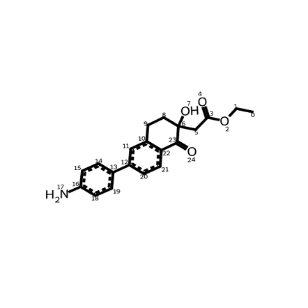 CCOC(=O)CC1(O)CCc2cc(-c3ccc(N)cc3)ccc2C1=O